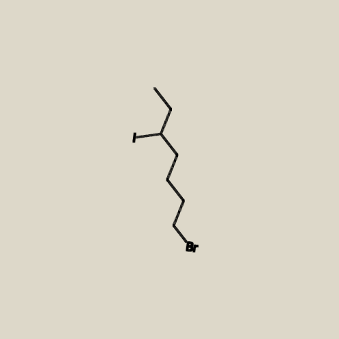 CCC(I)CCCCBr